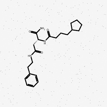 NC(=O)[C@@H](CC(=O)NCCc1ccccc1)NC(=O)CCCC1CCCC1